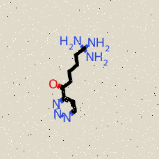 NC(N)(N)CCCCC(=O)c1ccnnn1